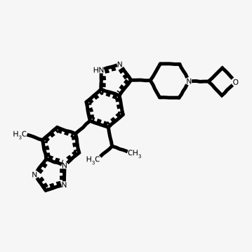 Cc1cc(-c2cc3[nH]nc(C4CCN(C5COC5)CC4)c3cc2C(C)C)cn2ncnc12